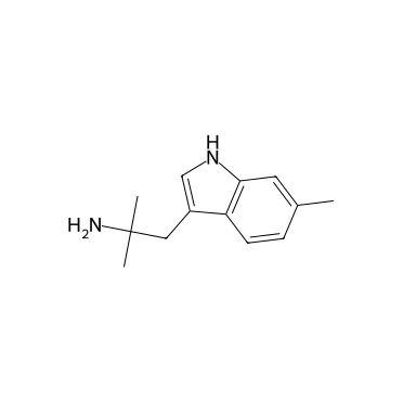 Cc1ccc2c(CC(C)(C)N)c[nH]c2c1